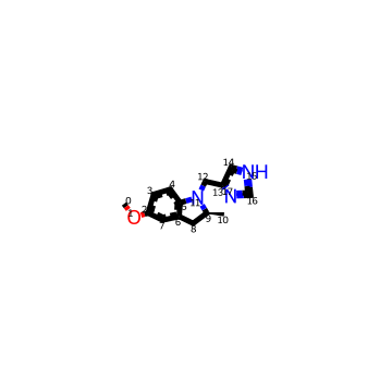 COc1ccc2c(c1)C[C@H](C)N2Cc1c[nH]cn1